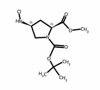 COC(=O)[C@@H]1C[C@H](NCl)CN1C(=O)OC(C)(C)C